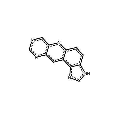 c1ncc2nc3ccc4[nH]cnc4c3cc2n1